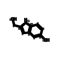 OCc1cc2cc(O)ccc2[nH]1